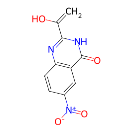 C=C(O)c1nc2ccc([N+](=O)[O-])cc2c(=O)[nH]1